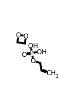 C1COO1.C=CCOP(=O)(O)O